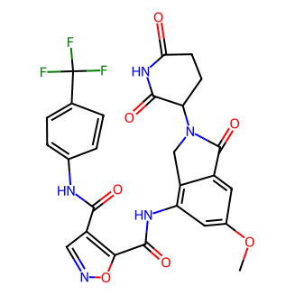 COc1cc(NC(=O)c2oncc2C(=O)Nc2ccc(C(F)(F)F)cc2)c2c(c1)C(=O)N(C1CCC(=O)NC1=O)C2